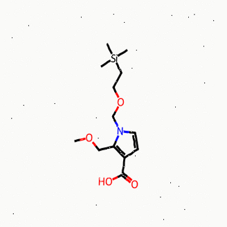 COCc1c(C(=O)O)ccn1COCC[Si](C)(C)C